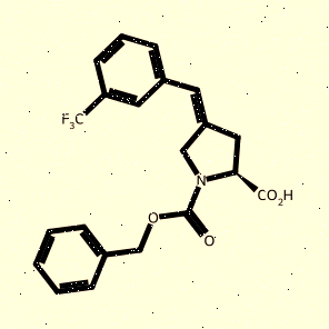 O=C(O)[C@@H]1CC(=Cc2cccc(C(F)(F)F)c2)CN1C(=O)OCc1ccccc1